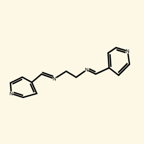 C(=NCCN=Cc1ccncc1)c1ccncc1